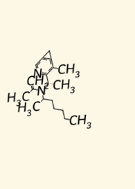 C=C(C)N(C(C)CCCCC)[C@@H](C)c1ncc2c(c1C)C2